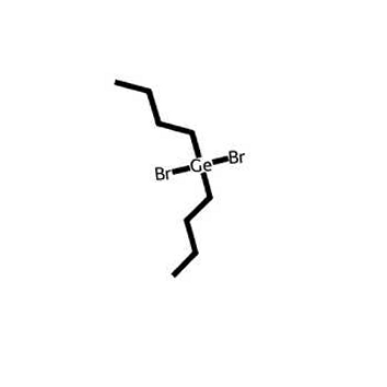 CCC[CH2][Ge]([Br])([Br])[CH2]CCC